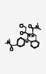 CN(C)C(=O)c1ccc([C@H]2c3ccccc3C[C@H](C(=O)N(C)C)N2C(=O)CCl)cc1